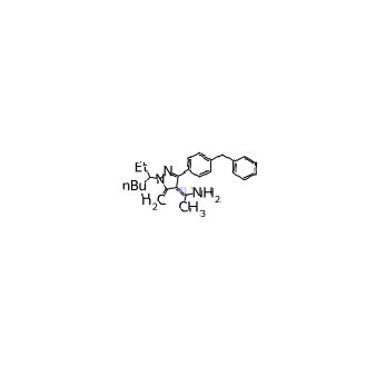 C=c1/c(=C(\C)N)c(-c2ccc(Cc3ccccc3)cc2)nn1C(CC)CCCC